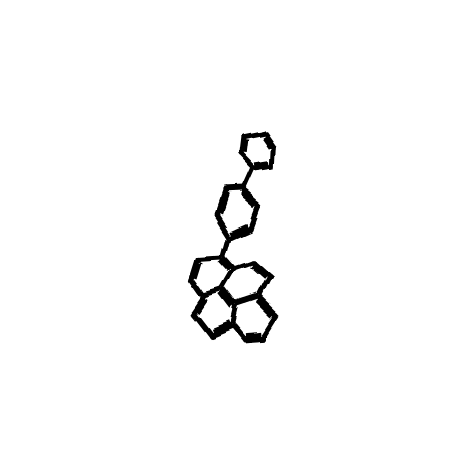 c1ccc(-c2ccc(-c3ccc4ccc5cccc6ccc3c4c56)cc2)cc1